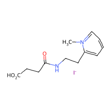 C[n+]1ccccc1CCNC(=O)CCC(=O)O.[I-]